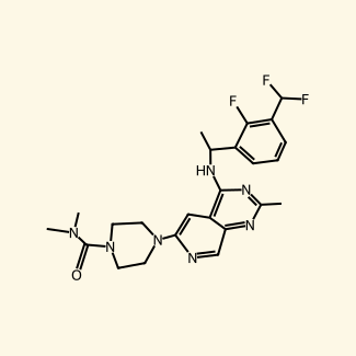 Cc1nc(NC(C)c2cccc(C(F)F)c2F)c2cc(N3CCN(C(=O)N(C)C)CC3)ncc2n1